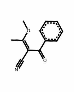 COC(C)=C(C#N)C(=O)c1ccccc1